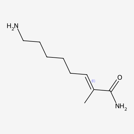 C/C(=C\CCCCCN)C(N)=O